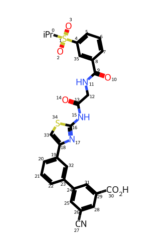 CC(C)S(=O)(=O)c1cccc(C(=O)NCC(=O)Nc2nc(-c3cccc(-c4cc(C#N)cc(C(=O)O)c4)c3)cs2)c1